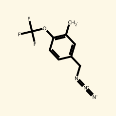 [CH2]c1cc(CN=[N+]=[N-])ccc1OC(F)(F)F